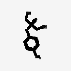 O=[N+]([O-])c1ccc(OP(=S)(CO)CO)cc1